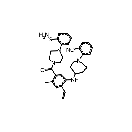 C=Cc1cc(C)c(C(=O)N2CCN(c3ccccc3SN)CC2)cc1NC1CCN(c2ccccc2C#N)CC1